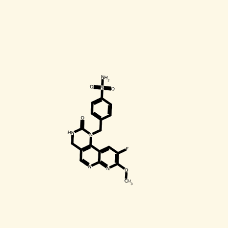 COc1nc2ncc3c(c2cc1F)N(Cc1ccc(S(N)(=O)=O)cc1)C(=O)NC3